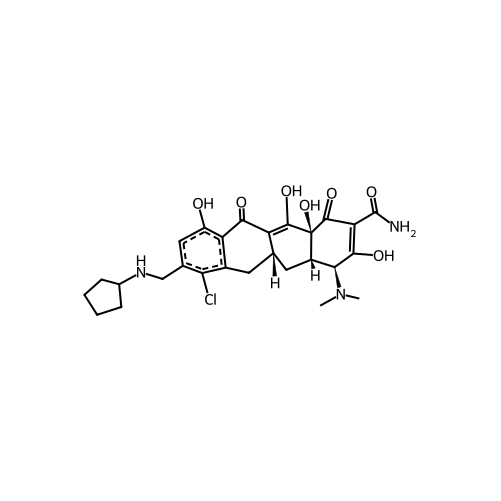 CN(C)[C@@H]1C(O)=C(C(N)=O)C(=O)[C@@]2(O)C(O)=C3C(=O)c4c(O)cc(CNC5CCCC5)c(Cl)c4C[C@H]3C[C@@H]12